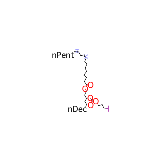 CCCCC/C=C\C/C=C\CCCCCCCC(=O)OCCC(CCCCCCCCCCCC)OC(=O)OCCCI